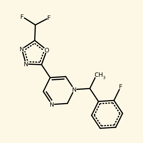 CC(c1ccccc1F)N1C=C(c2nnc(C(F)F)o2)C=NC1